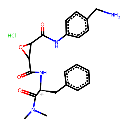 CN(C)C(=O)[C@H](Cc1ccccc1)NC(=O)C1OC1C(=O)Nc1ccc(CN)cc1.Cl